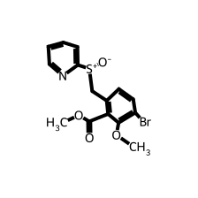 COC(=O)c1c(C[S+]([O-])c2ccccn2)ccc(Br)c1OC